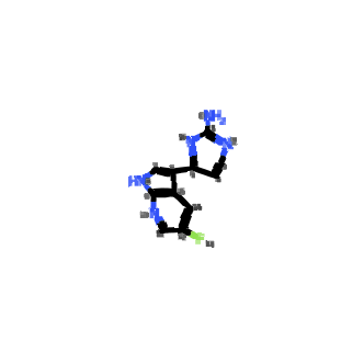 Nc1nccc(-c2c[nH]c3ncc(F)cc23)n1